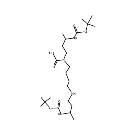 CC(CCNCCCCN(CCC(C)NC(=O)OC(C)(C)C)C(=O)O)NC(=O)OC(C)(C)C